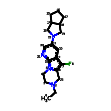 CCN1CCn2c(c(F)c3cc(N4CC5CCCC5C4)cnc32)C1